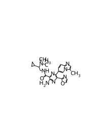 Cc1cnc2ccc(-c3nc(C(=O)NCC(C4CC4)N(C)C)c(N)nc3-c3ncco3)cn12